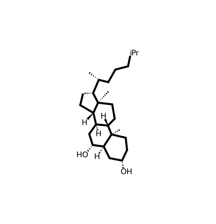 CC(C)CCC[C@@H](C)[C@H]1CC[C@H]2[C@@H]3C[C@@H](O)[C@@H]4C[C@@H](O)CC[C@]4(C)[C@H]3CC[C@]12C